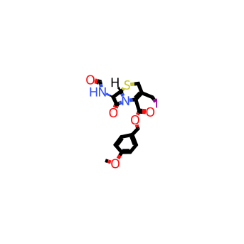 COc1ccc(COC(=O)C2=C(CI)CS[C@H]3[C@H](NC=O)C(=O)N23)cc1